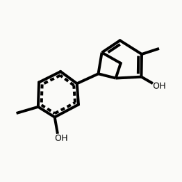 CC1=C(O)C2CC(=C1)C2c1ccc(C)c(O)c1